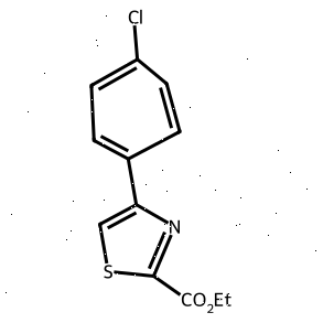 CCOC(=O)c1nc(-c2ccc(Cl)cc2)cs1